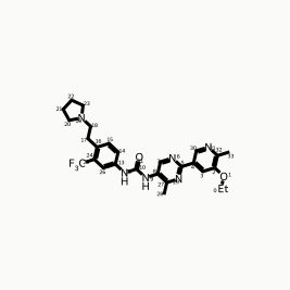 CCOc1cc(-c2ncc(NC(=O)Nc3ccc(CCN4CCCC4)c(C(F)(F)F)c3)c(C)n2)cnc1C